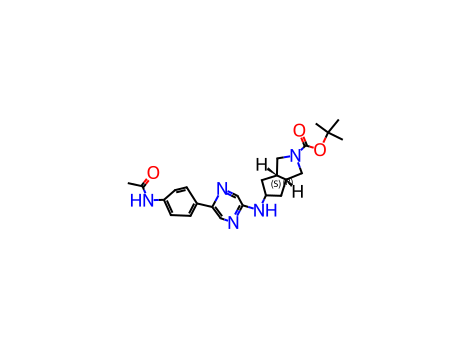 CC(=O)Nc1ccc(-c2cnc(NC3C[C@@H]4CN(C(=O)OC(C)(C)C)C[C@@H]4C3)cn2)cc1